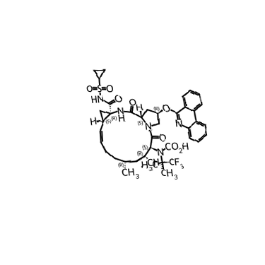 C[C@@H]1CCC=C[C@@H]2C[C@@]2(C(=O)NS(=O)(=O)C2CC2)NC(=O)[C@@H]2C[C@@H](Oc3nc4ccccc4c4ccccc34)CN2C(=O)[C@@H](N(C(=O)O)C(C)(C)C(F)(F)F)[C@H](C)C1